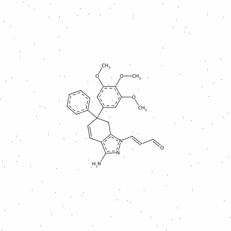 COc1cc(C2(c3ccccc3)C=Cc3c(N)nn(C=CC=O)c3C2)cc(OC)c1OC